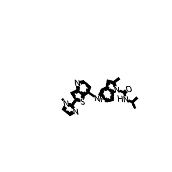 Cc1cc2cc(Nc3ccnc4cc(-c5nccn5C)sc34)ccc2n1C(=O)NC(C)C